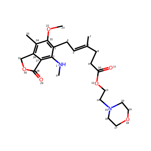 CNc1c(C/C=C(\C)CCC(=O)OCCN2CCOCC2)c(OC)c(C)c2c1C(=O)OC2